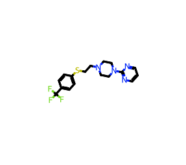 FC(F)(F)c1ccc(SCCN2CCN(c3ncccn3)CC2)cc1